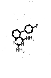 Nc1nc(N)c2c(-c3ccc(F)cc3)cccc2n1